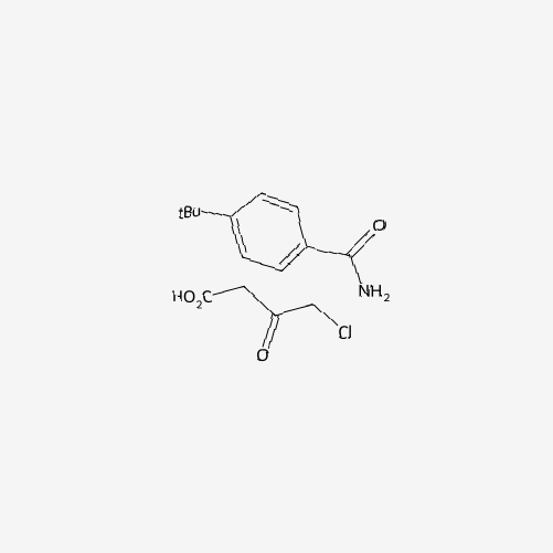 CC(C)(C)c1ccc(C(N)=O)cc1.O=C(O)CC(=O)CCl